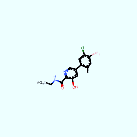 Bc1cc(C)c(-c2cnc(C(=O)NCC(=O)O)c(O)c2)cc1Cl